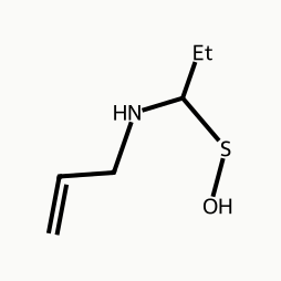 C=CCNC(CC)SO